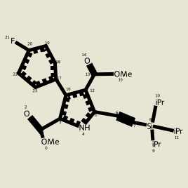 COC(=O)c1[nH]c(C#C[Si](C(C)C)(C(C)C)C(C)C)c(C(=O)OC)c1-c1ccc(F)cc1